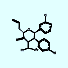 C=CC[C@@H]1O[C@@H](c2cccc(Cl)c2)[C@@H](c2ccc(Cl)cc2)N(C(CC)CCC)C1=O